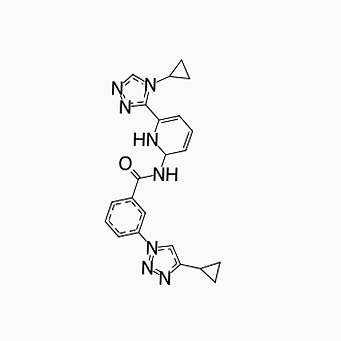 O=C(NC1C=CC=C(c2nncn2C2CC2)N1)c1cccc(-n2cc(C3CC3)nn2)c1